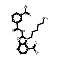 NCCCCCn1c(NC(=O)c2cccc(C(=O)O)c2)nc2cccc(C(=O)O)c21